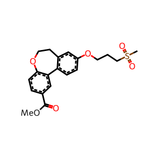 COC(=O)c1ccc2c(c1)-c1ccc(OCCCS(C)(=O)=O)cc1CCO2